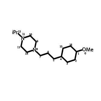 COC1CCC(CCCN2CCN(C(C)C)CC2)CC1